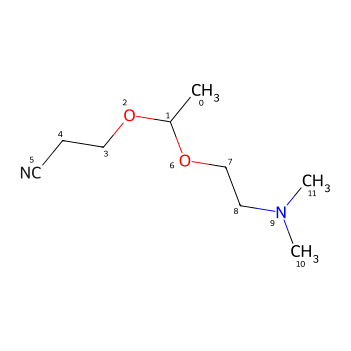 CC(OCCC#N)OCCN(C)C